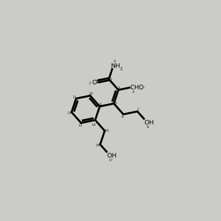 NC(=O)C([C]=O)=C(CCO)c1ccccc1CCO